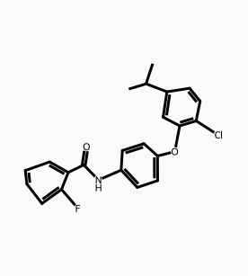 CC(C)c1ccc(Cl)c(Oc2ccc(NC(=O)c3ccccc3F)cc2)c1